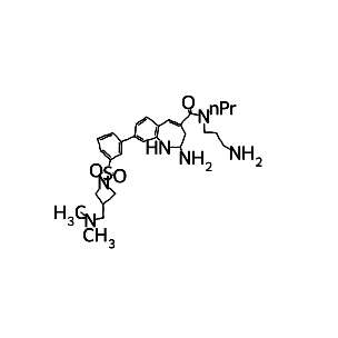 CCCN(CCCN)C(=O)C1=Cc2ccc(-c3cccc(S(=O)(=O)N4CC(CN(C)C)C4)c3)cc2NC(N)C1